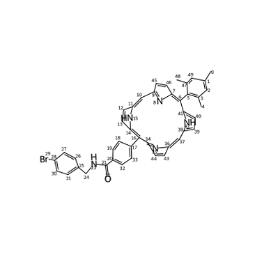 Cc1cc(C)c(-c2c3nc(cc4ccc([nH]4)c(-c4ccc(C(=O)NCc5ccc(Br)cc5)cc4)c4nc(cc5ccc2[nH]5)C=C4)C=C3)c(C)c1